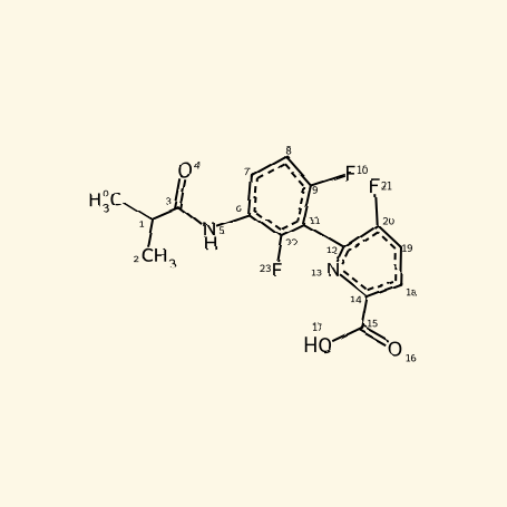 CC(C)C(=O)Nc1ccc(F)c(-c2nc(C(=O)O)ccc2F)c1F